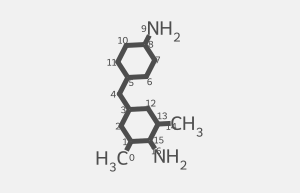 CC1CC(CC2CCC(N)CC2)CC(C)C1N